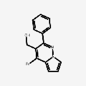 CC(C)c1c(CO)c(-c2ccccc2)nn2cccc12